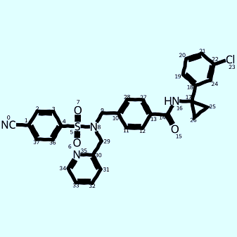 N#Cc1ccc(S(=O)(=O)N(Cc2ccc(C(=O)NC3(c4cccc(Cl)c4)CC3)cc2)Cc2ccccn2)cc1